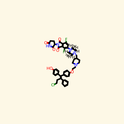 [2H]C1([2H])N(CC2CCN(CCOc3ccc(C(=C(CCCl)c4ccccc4)c4ccc(O)cc4)cc3)CC2)C([2H])([2H])C([2H])([2H])N(c2cc(F)c3c(c2F)C(=O)N(C2CCC(=O)NC2=O)C3=O)C1([2H])[2H]